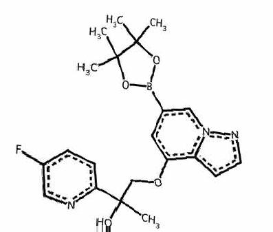 CC(O)(COc1cc(B2OC(C)(C)C(C)(C)O2)cn2nccc12)c1ccc(F)cn1